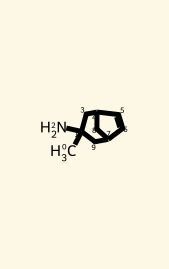 CC1(N)CC2C=CC(C2)C1